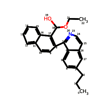 CCCc1ccc2c(-c3ccc4ccccc4c3C(O)OCC)nccc2c1